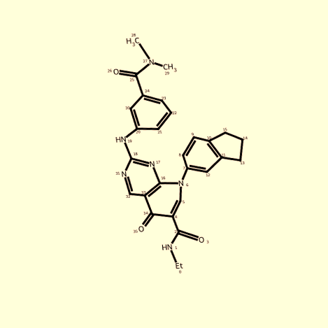 CCNC(=O)c1cn(-c2ccc3c(c2)CCC3)c2nc(Nc3cccc(C(=O)N(C)C)c3)ncc2c1=O